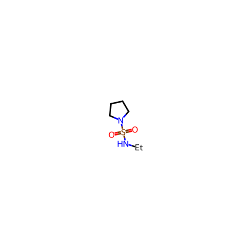 CCNS(=O)(=O)N1CCCC1